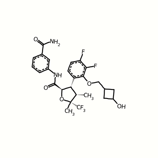 C[C@H]1[C@@H](c2ccc(F)c(F)c2OCC2CC(O)C2)[C@H](C(=O)Nc2cccc(C(N)=O)c2)O[C@@]1(C)C(F)(F)F